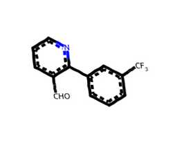 O=Cc1cccnc1-c1cccc(C(F)(F)F)c1